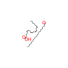 CCCCC/C=C\C/C=C\C/C=C\C/C=C\CCCC(=O)O.CCCCCCCCCCCCCCCCCCC1CO1